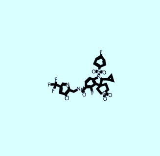 O=C(NCc1ncc(C(F)(F)F)cc1Cl)c1ccc2c(c1F)C1(CCS(=O)(=O)CC1)C(C1CC1)N2S(=O)(=O)c1ccc(F)cc1